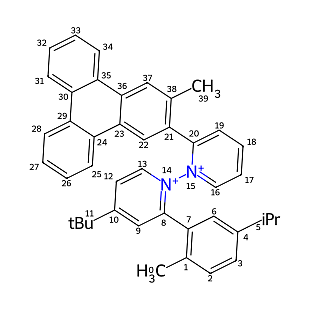 Cc1ccc(C(C)C)cc1-c1cc(C(C)(C)C)cc[n+]1-[n+]1ccccc1-c1cc2c3ccccc3c3ccccc3c2cc1C